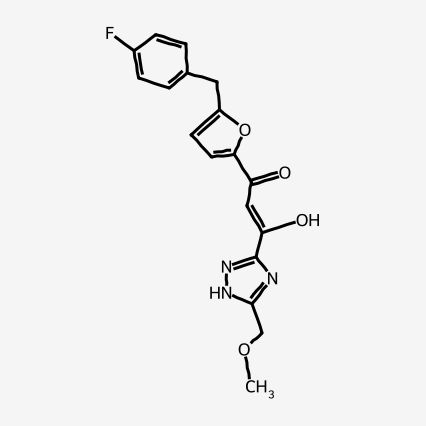 COCc1nc(C(O)=CC(=O)c2ccc(Cc3ccc(F)cc3)o2)n[nH]1